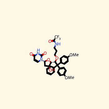 COc1ccc(C(c2ccccc2)(c2ccc(OC)cc2)C(OCCCNC(=O)C(F)(F)F)[C@H]2O[C@@H](n3ccc(=O)[nH]c3=O)C[C@@H]2O)cc1